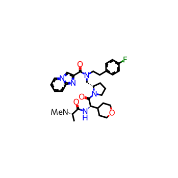 CN[C@@H](C)C(=O)N[C@H](C(=O)N1CCC[C@H]1CN(CCc1ccc(F)cc1)C(=O)c1cn2ccccc2n1)C1CCOCC1